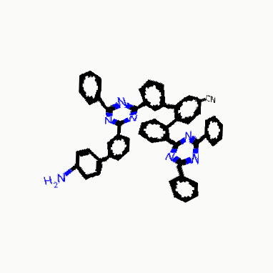 N#Cc1ccc(-c2ccccc2-c2nc(-c3ccccc3)nc(-c3ccccc3)n2)c(-c2cccc(-c3nc(-c4ccccc4)nc(-c4cccc(C5=CCC(N)C=C5)c4)n3)c2)c1